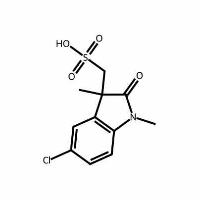 CN1C(=O)C(C)(CS(=O)(=O)O)c2cc(Cl)ccc21